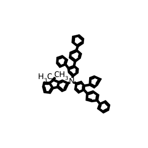 CC1(C)c2ccccc2-c2ccc(N(c3ccc(-c4ccc(-c5ccccc5)cc4)c(-c4ccccc4)c3)c3ccc(-c4ccc(-c5ccccc5)cc4)c(-c4ccccc4)c3)cc21